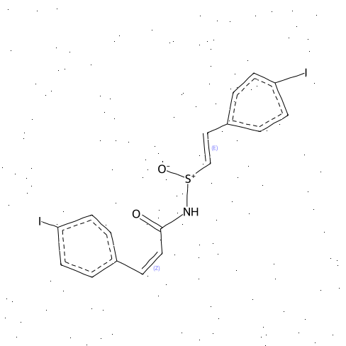 O=C(/C=C\c1ccc(I)cc1)N[S+]([O-])/C=C/c1ccc(I)cc1